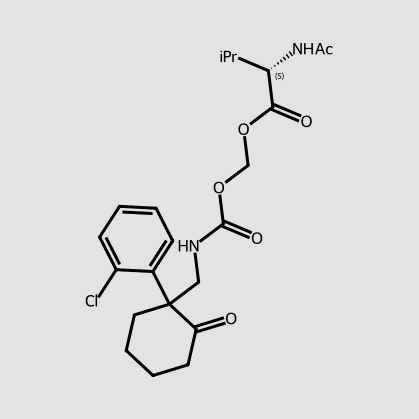 CC(=O)N[C@H](C(=O)OCOC(=O)NCC1(c2ccccc2Cl)CCCCC1=O)C(C)C